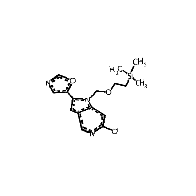 C[Si](C)(C)CCOCn1c(-c2cnco2)cc2cnc(Cl)cc21